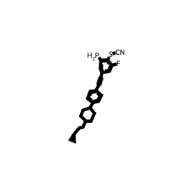 N#CSc1c(F)cc(C#Cc2ccc(C3CCC(CCC4CC4)CC3)cc2)cc1P